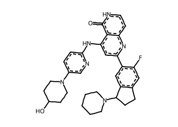 O=c1[nH]ccc2nc(-c3cc4c(cc3F)CCC4N3CCCCC3)cc(Nc3ccc(N4CCC(O)CC4)cn3)c12